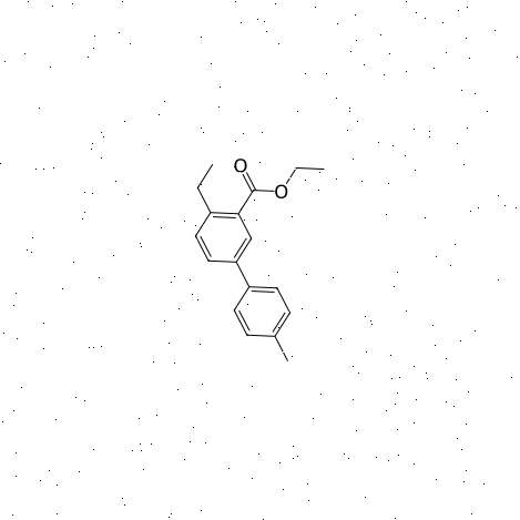 CCOC(=O)c1cc(-c2ccc(C)cc2)ccc1CC